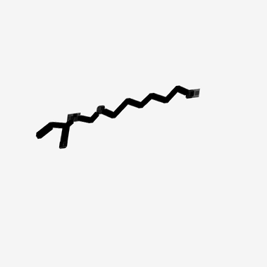 C=CC(=O)NCOCCCCCCO